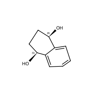 O[C@@H]1CC[C@H](O)c2ccccc21